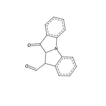 O=CC1c2ccccc2N2c3ccccc3C(=O)C12